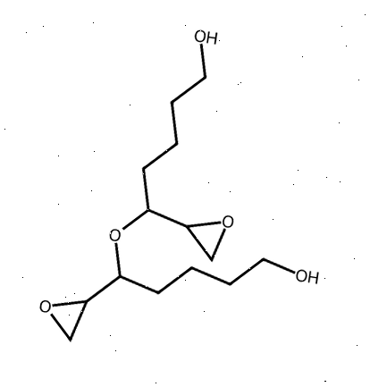 OCCCCC(OC(CCCCO)C1CO1)C1CO1